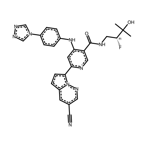 CC(C)(O)[C@H](F)CNC(=O)c1cnc(-c2ccc3cc(C#N)cnn23)cc1Nc1ccc(-n2cnnc2)cc1